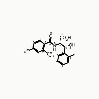 Cc1ccccc1[C@@H](O)[C@H](NC(=O)c1ccc(F)cc1C(F)(F)F)C(=O)O